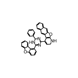 C1=C(C2=NC(c3ccccc3)NC(c3cccc4oc5ccccc5c34)=N2)c2c(oc3cc4ccccc4cc23)NC1